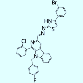 Fc1ccc(Cn2c3ccccc3c3cc(C=NN=c4[nH]c(-c5cccc(Br)c5)cs4)nc(-c4ccccc4Cl)c32)cc1